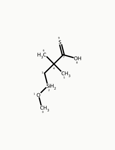 CO[SiH2]CC(C)(C)C(O)=S